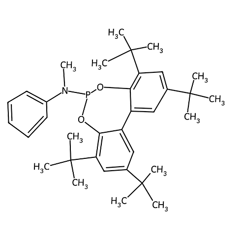 CN(c1ccccc1)p1oc2c(C(C)(C)C)cc(C(C)(C)C)cc2c2cc(C(C)(C)C)cc(C(C)(C)C)c2o1